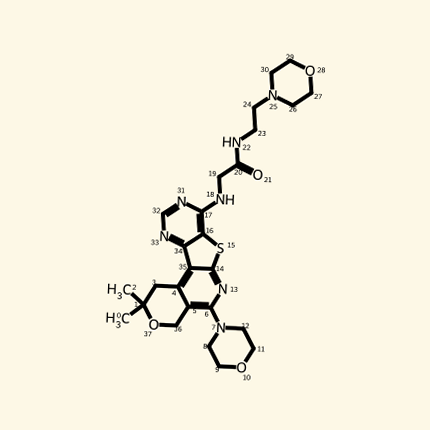 CC1(C)Cc2c(c(N3CCOCC3)nc3sc4c(NCC(=O)NCCN5CCOCC5)ncnc4c23)CO1